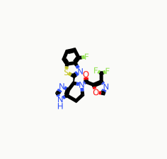 O=C(c1ocnc1C(F)F)N1CCc2[nH]cnc2[C@H]1c1nc2c(F)cccc2s1